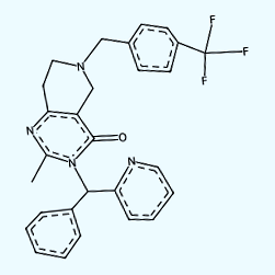 Cc1nc2c(c(=O)n1C(c1ccccc1)c1ccccn1)CN(Cc1ccc(C(F)(F)F)cc1)CC2